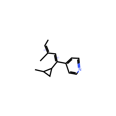 C/C=C(C)\C=C(\c1ccncc1)C1CC1C